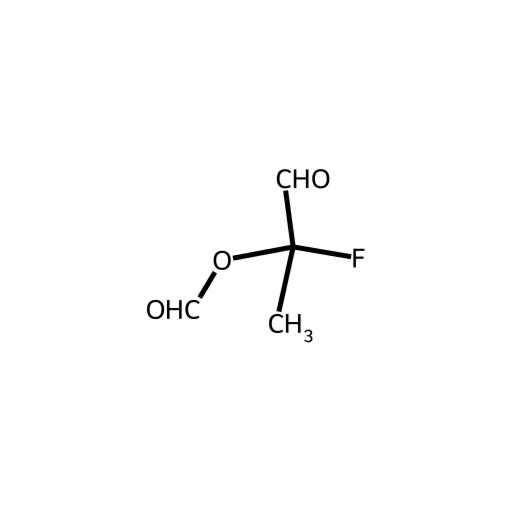 CC(F)(C=O)OC=O